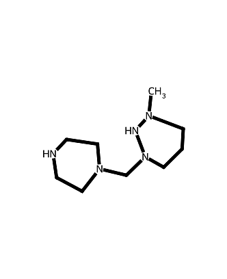 CN1CCCN(CN2CCNCC2)N1